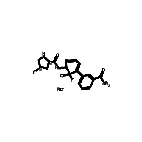 Cl.NC(=O)c1cccc(C2=CC=CC(NC(=O)[C@@H]3C[C@@H](F)CN3)C2(F)Cl)c1